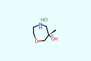 C[C@]1(O)CNCCOC1.Cl